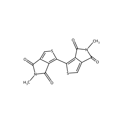 CN1C(=O)c2csc(-c3scc4c3C(=O)N(C)C4=O)c2C1=O